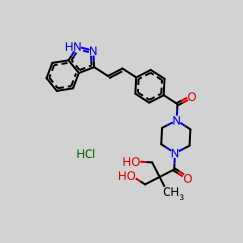 CC(CO)(CO)C(=O)N1CCN(C(=O)c2ccc(C=Cc3n[nH]c4ccccc34)cc2)CC1.Cl